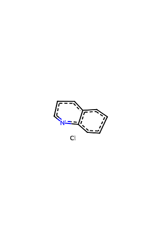 [C].c1ccc2ncccc2c1